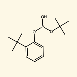 CC(C)(C)OP(O)Oc1ccccc1C(C)(C)C